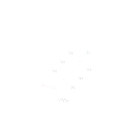 [2H]C([2H])(Br)C([2H])([2H])C([2H])([2H])C(=O)OC